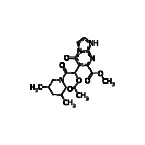 COC(=O)c1nc2[nH]ccn2c(=O)c1C(OC(C)=O)C(=O)N1CC(C)CC(C)C1